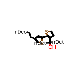 CCCCCCCCCCCCc1csc(-c2sccc2C(O)(CCCCCCCC)CCCCCCCC)c1